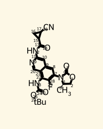 C[C@H]1COC(=O)N1c1cc2cc(NC(=O)C3CC3C#N)ncc2c(NC(=O)OC(C)(C)C)c1F